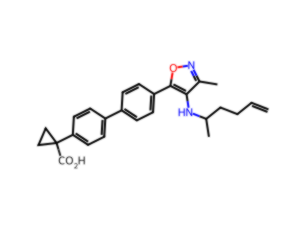 C=CCCC(C)Nc1c(C)noc1-c1ccc(-c2ccc(C3(C(=O)O)CC3)cc2)cc1